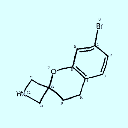 Brc1ccc2c(c1)OC1(CC2)CNC1